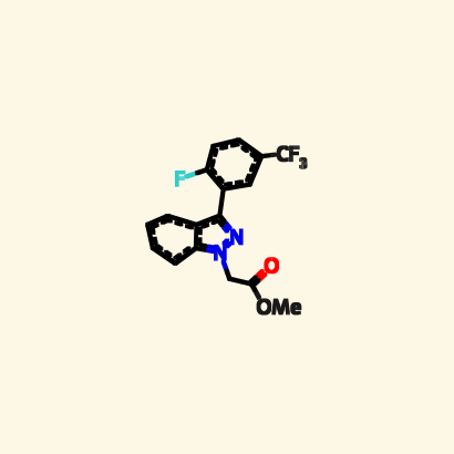 COC(=O)Cn1nc(-c2cc(C(F)(F)F)ccc2F)c2ccccc21